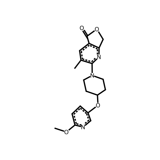 COc1ccc(OC2CCN(c3nc4c(cc3C)C(=O)OC4)CC2)cn1